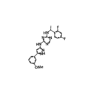 COc1cccc(-c2cc(Nc3ncnc(NC(C)c4ccc(F)cc4F)n3)n[nH]2)c1